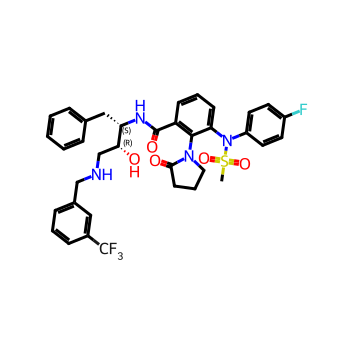 CS(=O)(=O)N(c1ccc(F)cc1)c1cccc(C(=O)N[C@@H](Cc2ccccc2)[C@H](O)CNCc2cccc(C(F)(F)F)c2)c1N1CCCC1=O